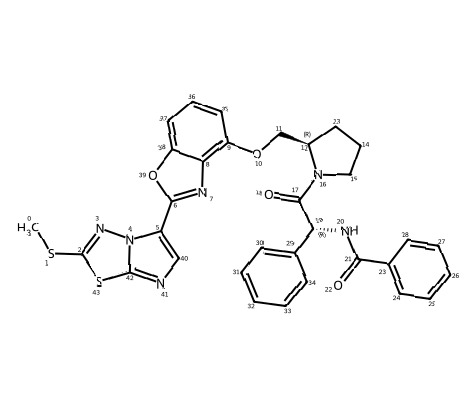 CSc1nn2c(-c3nc4c(OC[C@H]5CCCN5C(=O)[C@H](NC(=O)c5ccccc5)c5ccccc5)cccc4o3)cnc2s1